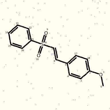 COc1ccc(/C=C/S(=O)(=O)c2ccccc2)cc1